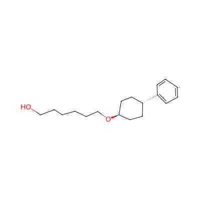 OCCCCCCO[C@H]1CC[C@H](c2cc[c]cc2)CC1